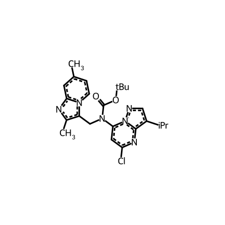 Cc1ccn2c(CN(C(=O)OC(C)(C)C)c3cc(Cl)nc4c(C(C)C)cnn34)c(C)nc2c1